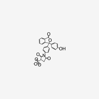 [O]S(=O)(=O)C1CC(=O)N(c2ccc(C3(c4ccc(O)cc4)OC(=O)c4ccccc43)cc2)C1=O